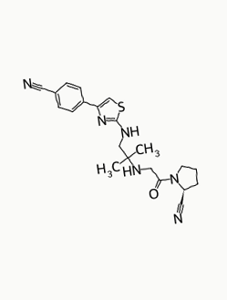 CC(C)(CNc1nc(-c2ccc(C#N)cc2)cs1)NCC(=O)N1CCC[C@H]1C#N